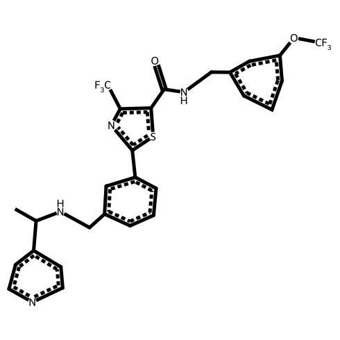 CC(NCc1cccc(-c2nc(C(F)(F)F)c(C(=O)NCc3cccc(OC(F)(F)F)c3)s2)c1)c1ccncc1